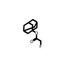 O=C(CF)OC12CC3CC(CC(C3)C1)C2